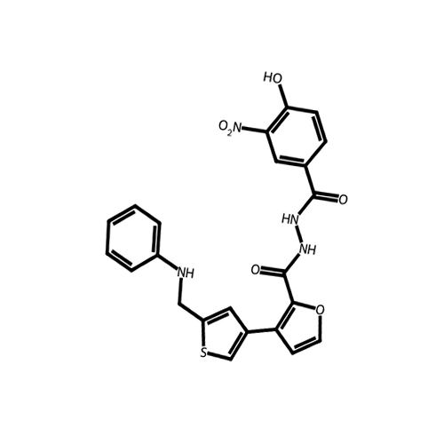 O=C(NNC(=O)c1occc1-c1csc(CNc2ccccc2)c1)c1ccc(O)c([N+](=O)[O-])c1